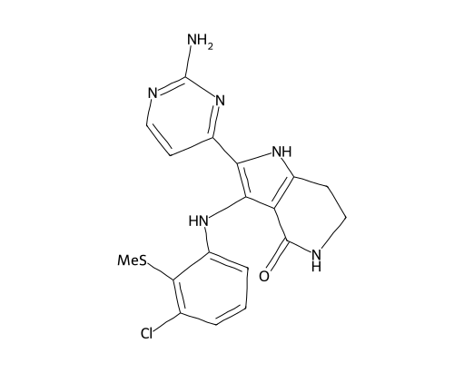 CSc1c(Cl)cccc1Nc1c(-c2ccnc(N)n2)[nH]c2c1C(=O)NCC2